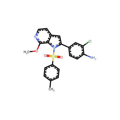 COc1nccc2cc(-c3ccc(N)c(Cl)c3)n(S(=O)(=O)c3ccc(C)cc3)c12